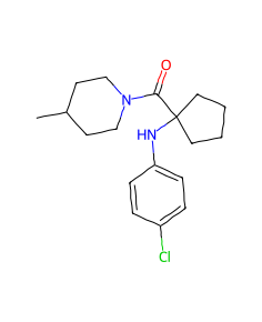 CC1CCN(C(=O)C2(Nc3ccc(Cl)cc3)CCCC2)CC1